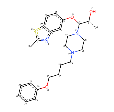 Cc1nc2cc(OC([C@@H](C)O)N3CCN(CCCCOc4ccccc4)CC3)ccc2s1